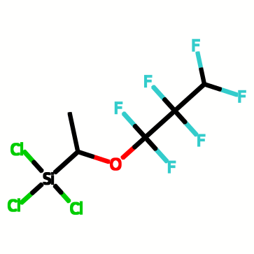 CC(OC(F)(F)C(F)(F)C(F)F)[Si](Cl)(Cl)Cl